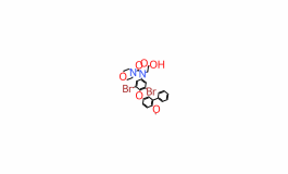 COc1ccc(Oc2c(Br)cc(N(CC(=O)O)C(=O)N3CCOCC3)cc2Br)cc1-c1ccccc1